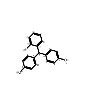 Oc1ccc(C(c2ccc(O)cc2)c2ccccc2F)cc1